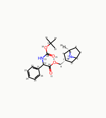 CN1C2CC[C@@H]1C[C@@H](COC(=O)C(NC(=O)OC(C)(C)C)c1ccccc1)C2